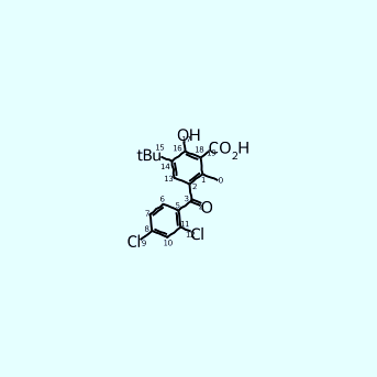 Cc1c(C(=O)c2ccc(Cl)cc2Cl)cc(C(C)(C)C)c(O)c1C(=O)O